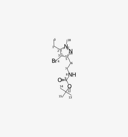 CCc1c(Br)c(CCNC(=O)OC(C)(C)C)nn1C